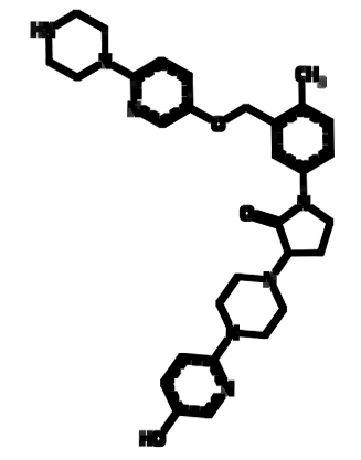 Cc1ccc(N2CCC(N3CCN(c4ccc(O)cn4)CC3)C2=O)cc1COc1ccc(N2CCNCC2)nc1